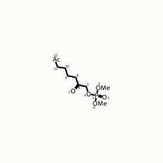 COP(=O)(OC)OCC(=O)CCCCC(C)=O